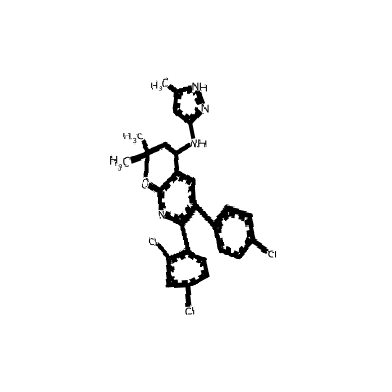 Cc1cc(NC2CC(C)(C)Oc3nc(-c4ccc(Cl)cc4Cl)c(-c4ccc(Cl)cc4)cc32)n[nH]1